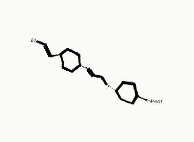 CC/C=C/[C@H]1CC[C@H](/C=C/CC[C@H]2CC[C@H](CCCCC)CC2)CC1